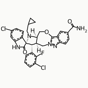 NC(=O)c1ccc2nn3c(c2c1)OC[C@H]1[C@@H](C3)[C@H](c2cccc(Cl)c2F)[C@]2(C(=O)Nc3cc(Cl)ccc32)N1CC1CC1